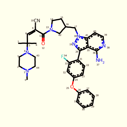 CN1CCN(C(C)(C)/C=C(/C#N)C(=O)N2CCC(Cn3nc(-c4ccc(Oc5ccccc5)cc4F)c4c(N)nccc43)C2)CC1